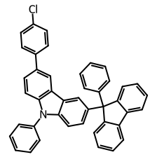 Clc1ccc(-c2ccc3c(c2)c2cc(C4(c5ccccc5)c5ccccc5-c5ccccc54)ccc2n3-c2ccccc2)cc1